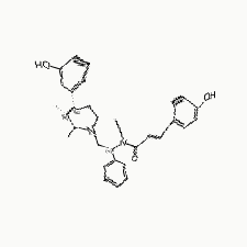 CC1[C@H](C)[C@H](c2cccc(O)c2)CCN1C[C@H](c1ccccc1)N(C)C(=O)CCc1ccc(O)cc1